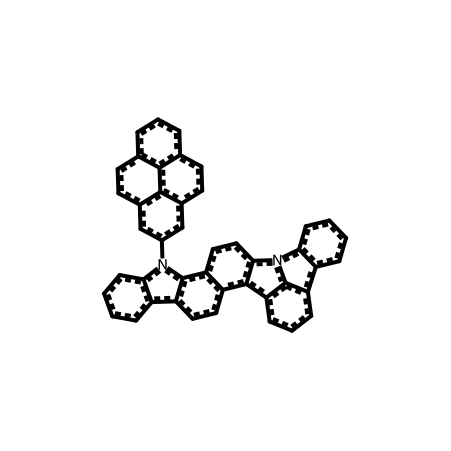 c1cc2ccc3cc(-n4c5ccccc5c5ccc6c(ccc7c6c6cccc8c9ccccc9n7c86)c54)cc4ccc(c1)c2c34